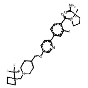 C[C@@]1(C(N)=O)CCCN1C(=O)c1ccc(-c2ccc(OCC3CCN(CC4(C(F)(F)F)CCC4)CC3)cn2)cc1F